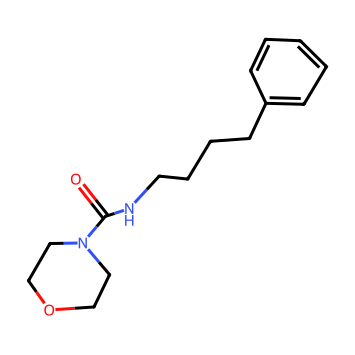 O=C(NCCCCc1ccccc1)N1CCOCC1